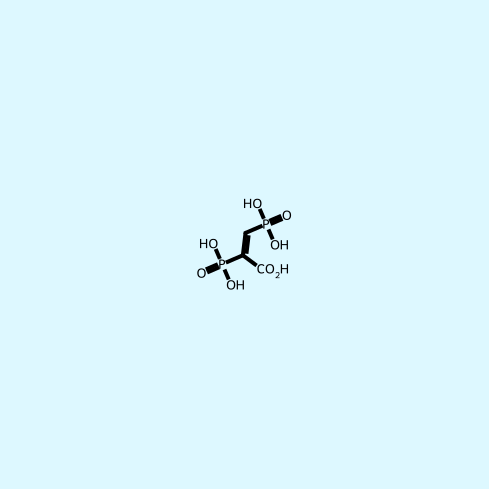 O=C(O)C(=CP(=O)(O)O)P(=O)(O)O